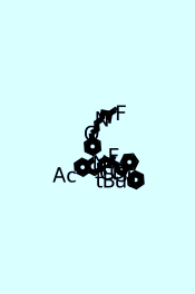 CC(=O)c1ccc2c(c1)C[C@H](C)N(CC(F)(F)CO[Si](c1ccccc1)(c1ccccc1)C(C)(C)C)[C@H]2c1ccc(OCCN2CC(CF)C2)cc1